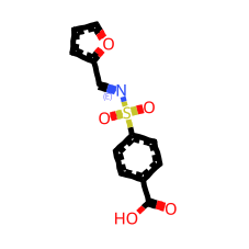 O=C(O)c1ccc(S(=O)(=O)/N=C/c2ccco2)cc1